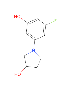 Oc1cc(F)cc(N2CCC(O)C2)c1